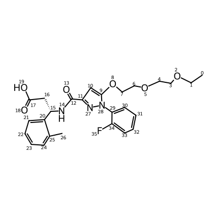 CCOCCOCCOc1cc(C(=O)N[C@@H](CC(=O)O)c2ccccc2C)nn1-c1ccccc1F